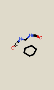 C1CCCCC1.O=C=NCN=C=O